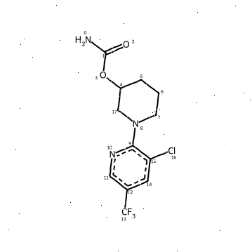 NC(=O)OC1CCCN(c2ncc(C(F)(F)F)cc2Cl)C1